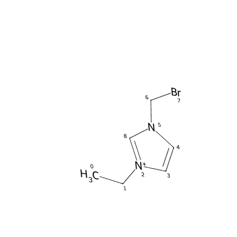 CC[n+]1ccn(CBr)c1